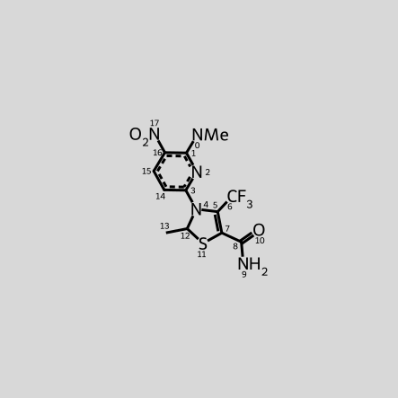 CNc1nc(N2C(C(F)(F)F)=C(C(N)=O)SC2C)ccc1[N+](=O)[O-]